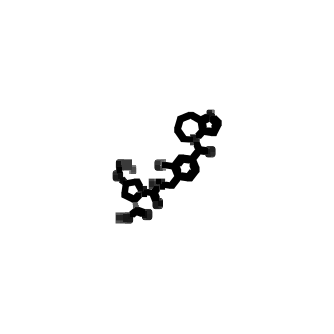 CO[C@@H]1C[C@@H](C(=O)O)N(C(=O)NCc2ccc(C(=O)N3CCCCc4sccc43)cc2Cl)C1